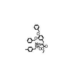 CCOC(=O)[C@H](Cc1ccc(OCc2ccccc2)c(OCc2ccccc2)c1)NC(=O)NCc1ccc(C)cc1